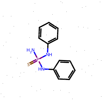 NP(=S)(Nc1ccccc1)Nc1ccccc1